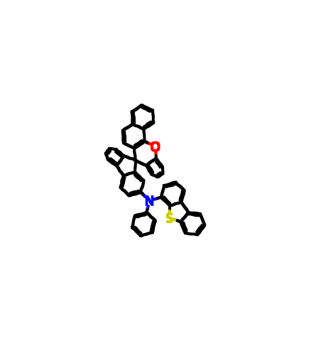 c1ccc(N(c2ccc3c(c2)C2(c4ccccc4Oc4c2ccc2ccccc42)c2ccccc2-3)c2cccc3c2sc2ccccc23)cc1